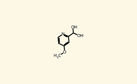 COc1ccnc(C(O)O)c1